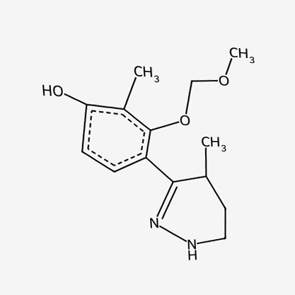 COCOc1c(C2=NNCCC2C)ccc(O)c1C